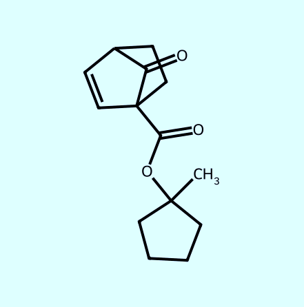 CC1(OC(=O)C23C=CC(CC2)C3=O)CCCC1